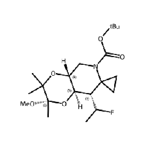 CO[C@@]1(C)O[C@@H]2[C@@H](C(C)F)C3(CC3)N(C(=O)OC(C)(C)C)C[C@H]2OC1(C)C